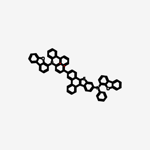 c1ccc(-c2ccccc2N(c2ccc(-c3ccc4c(c3)c3ccccc3c3c5ccc(N(c6ccccc6)c6cccc7c6oc6ccccc67)cc5sc43)cc2)c2cccc3c2oc2ccccc23)cc1